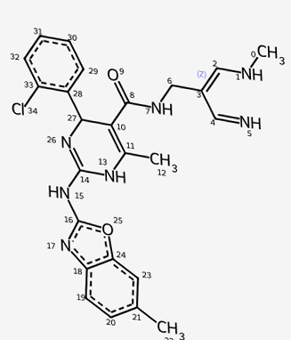 CN/C=C(\C=N)CNC(=O)C1=C(C)NC(Nc2nc3ccc(C)cc3o2)=NC1c1ccccc1Cl